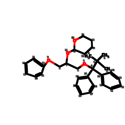 CC(C)(C)[Si](OCC(COc1ccccc1)OC1CCCCO1)(c1ccccc1)c1ccccc1